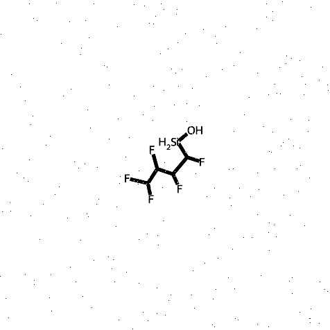 O[SiH2]C(F)C(F)C(F)C(F)F